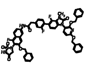 Cn1c(=O)n(-c2ccc(OCc3ccccc3)nc2OCc2ccccc2)c2ccc(-c3ccc(CC(=O)Nc4ccc5c(F)c(N6CC(=O)NS6(=O)=O)c(OCc6ccccc6)cc5c4)cc3F)c(F)c21